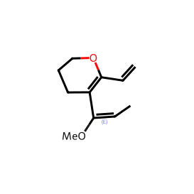 C=CC1=C(/C(=C\C)OC)CCCO1